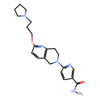 CNC(=O)c1ccc(N2CCc3nc(OCCCN4CCCC4)ccc3C2)nc1